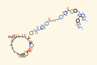 CO[C@H]1C[C@@H]2CCC[C@@](O)(O2)C(=O)C(=O)N2CCCC[C@H]2C(=O)O[C@H]([C@H](C)C[C@H]2CC[C@H](OC(=O)NCc3cnc(N4CCN(C(=O)CCOCCN5CCN(c6ncc(C(=O)N7CCc8cc(Cn9nc(-c%10ccc%11oc(N)nc%11c%10)c%10c(N)ncnc%109)ccc8C7)cn6)CC5)CC4)nc3)CC2)CC(=O)[C@H](C)/C=C(\C)[C@@H](O)[C@@H](OC)C(=O)[C@H](C)C[C@H](C)/C=C/C=C/C=C/1C